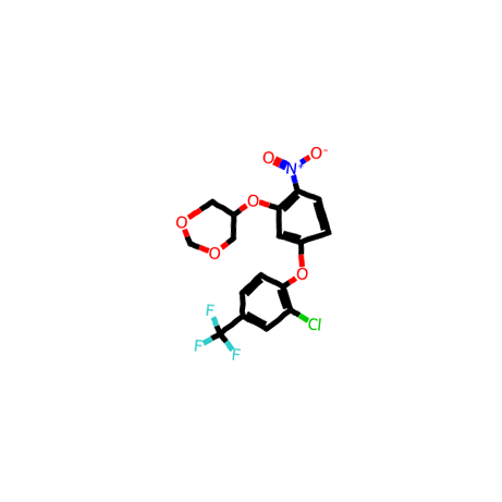 O=[N+]([O-])c1ccc(Oc2ccc(C(F)(F)F)cc2Cl)cc1OC1COCOC1